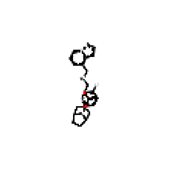 O=C(CCNCc1cccn2nccc12)N1CC2CCC(C1)N2c1ccc(Cl)cn1